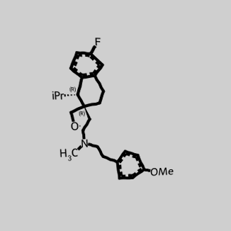 COc1ccc(CCN(C)CC[C@]2(C[O])CCc3cc(F)ccc3[C@H]2C(C)C)cc1